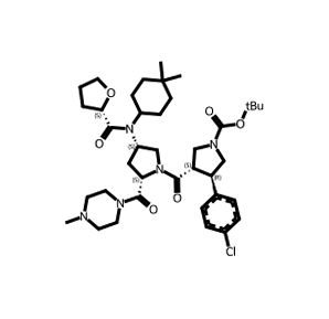 CN1CCN(C(=O)[C@@H]2C[C@H](N(C(=O)[C@@H]3CCCO3)C3CCC(C)(C)CC3)CN2C(=O)[C@@H]2CN(C(=O)OC(C)(C)C)C[C@H]2c2ccc(Cl)cc2)CC1